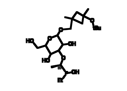 CCP(O)[C@@H](C)OC1C(O)C(CO)OC(OCC2(C)CC(C)(OC(C)(C)C)C2)C1O